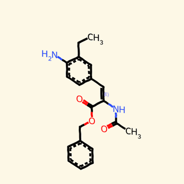 CCc1cc(/C=C(/NC(C)=O)C(=O)OCc2ccccc2)ccc1N